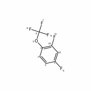 Fc1ccc(OC(F)(F)F)c(F)c1